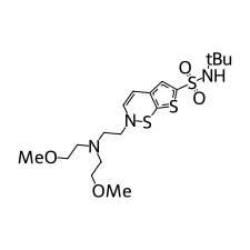 COCCN(CCOC)CCN1C=Cc2cc(S(=O)(=O)NC(C)(C)C)sc2S1